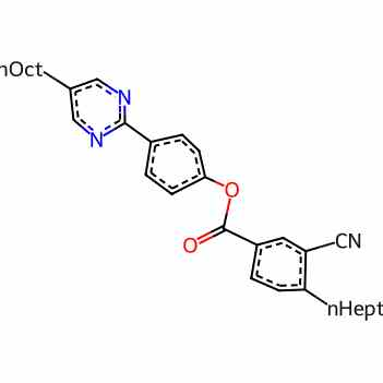 CCCCCCCCc1cnc(-c2ccc(OC(=O)c3ccc(CCCCCCC)c(C#N)c3)cc2)nc1